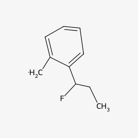 [CH2]c1ccccc1C(F)CC